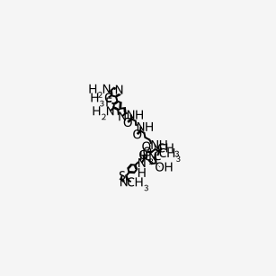 Cc1ncsc1-c1ccc(CNC(=O)[C@@H]2C[C@@H](O)CN2C(=O)[C@@H](NC(=O)CCCC(=O)NCCC(=O)Nc2cc3cc(-c4cncc(N)c4C)c(F)c(N)c3cn2)C(C)(C)C)cc1